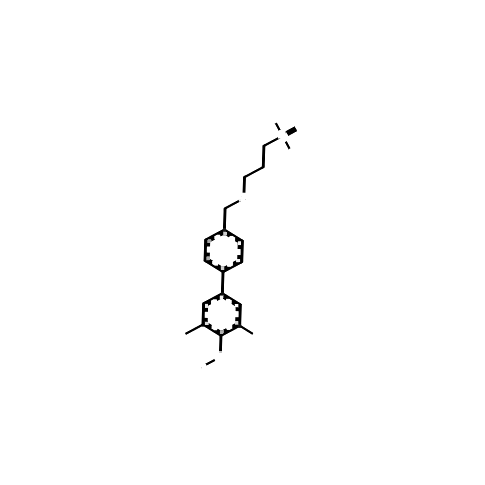 CCCCCCOc1c(C)cc(-c2ccc(CNCCCP(=O)(O)O)cc2)cc1Cl